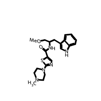 COCC(Cc1c[nH]c2ccccc12)NC(=O)c1cnc(N2CCN(C)CC2)s1